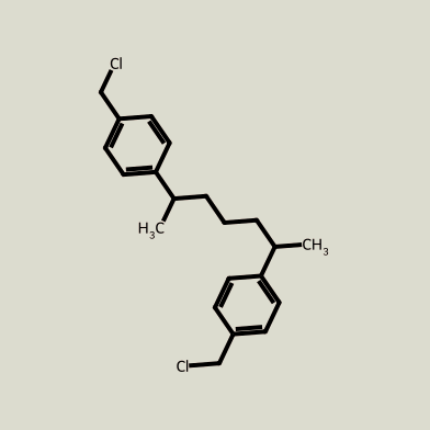 CC(CCCC(C)c1ccc(CCl)cc1)c1ccc(CCl)cc1